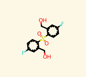 O=S(=O)(c1ccc(F)cc1CO)c1ccc(F)cc1CO